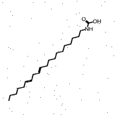 CCCCCC=CCC=CCCCCCCCCCCNC(=O)O